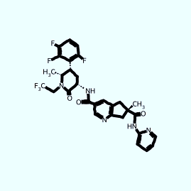 C[C@@H]1[C@H](c2c(F)ccc(F)c2F)C[C@H](NC(=O)c2cnc3c(c2)C[C@](C)(C(=O)Nc2ccccn2)C3)C(=O)N1CC(F)(F)F